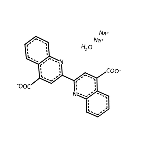 O.O=C([O-])c1cc(-c2cc(C(=O)[O-])c3ccccc3n2)nc2ccccc12.[Na+].[Na+]